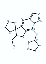 CCC1Cc2c(nc3ccnn3c2NC2CCCC2)C12CCCC2